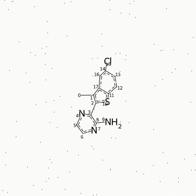 Cc1c(-c2nccnc2N)sc2ccc(Cl)cc12